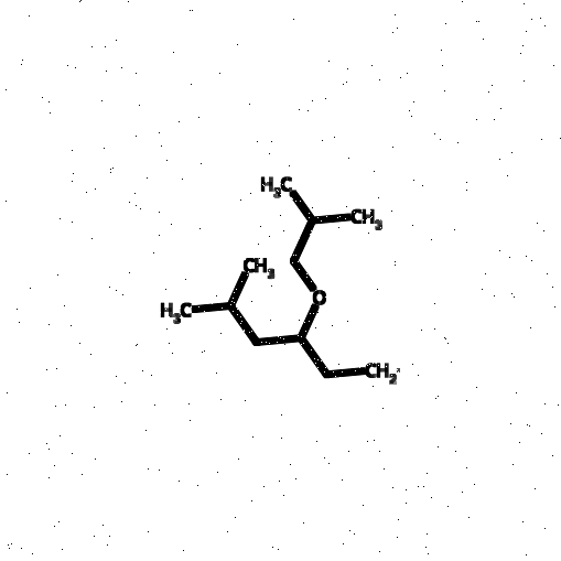 [CH2]CC(CC(C)C)OCC(C)C